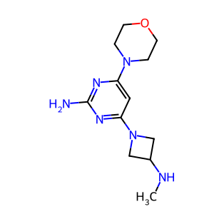 CNC1CN(c2cc(N3CCOCC3)nc(N)n2)C1